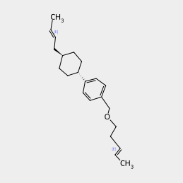 C/C=C/CCOCc1ccc([C@H]2CC[C@H](C/C=C/C)CC2)cc1